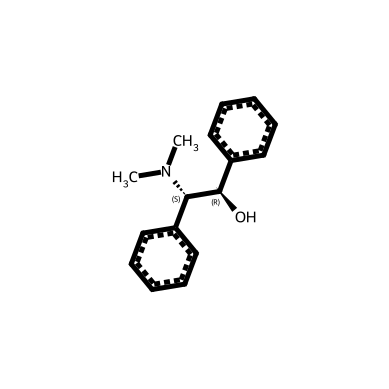 CN(C)[C@@H](c1ccccc1)[C@H](O)c1ccccc1